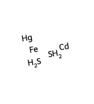 S.S.[Cd].[Fe].[Hg]